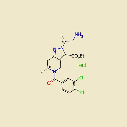 CCOC(=O)c1c2c(nn1[C@H](C)CN)C[C@@H](C)N(C(=O)c1ccc(Cl)c(Cl)c1)C2.Cl